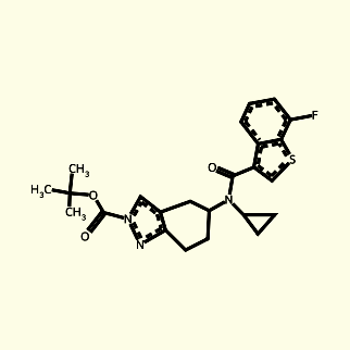 CC(C)(C)OC(=O)n1cc2c(n1)CCC(N(C(=O)c1csc3c(F)cccc13)C1CC1)C2